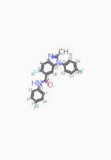 Cc1nc2cc(F)c(C(=O)Nc3ccc(F)cc3)cc2n1-c1ccc(F)cc1